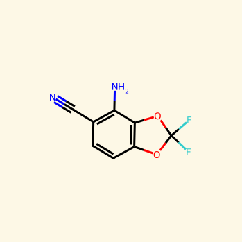 N#Cc1ccc2c(c1N)OC(F)(F)O2